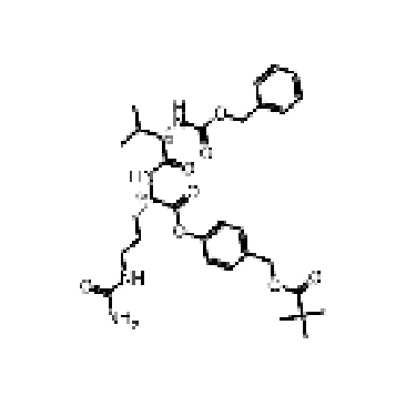 CC(C)[C@H](NC(=O)OCc1ccccc1)C(=O)N[C@@H](CCCNC(N)=O)C(=O)Oc1ccc(COC(=O)C(C)(C)C)cc1